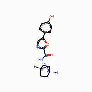 O=C(N[C@@H]1C[C@H]2CC[C@@H]1N2)c1ncc(-c2ccc(O)cc2)o1